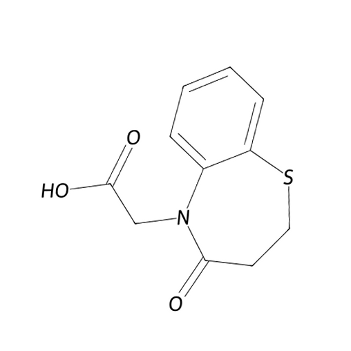 O=C(O)CN1C(=O)CCSc2ccccc21